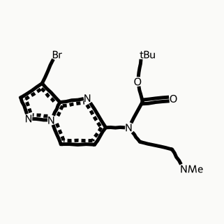 CNCCN(C(=O)OC(C)(C)C)c1ccn2ncc(Br)c2n1